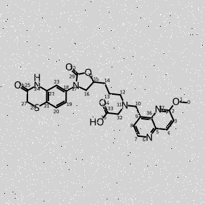 COc1ccc2nccc(CN(CCCC3CN(c4ccc5c(c4)NC(=O)CS5)C(=O)O3)CC(=O)O)c2n1